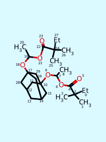 CCC(C)(C)C(=O)OC(C)OC12CC3CC(C1)CC(OC(C)OC(=O)C(C)(C)CC)(C3)C2